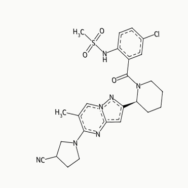 Cc1cn2nc([C@@H]3CCCCN3C(=O)c3cc(Cl)ccc3NS(C)(=O)=O)cc2nc1N1CCC(C#N)C1